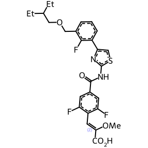 CCC(CC)COCc1cccc(-c2csc(NC(=O)c3cc(F)c(/C=C(\OC)C(=O)O)c(F)c3)n2)c1F